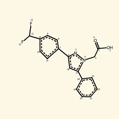 O=C(O)Cn1nc(-c2ccc(C(F)F)cc2)cc1-c1ccccc1